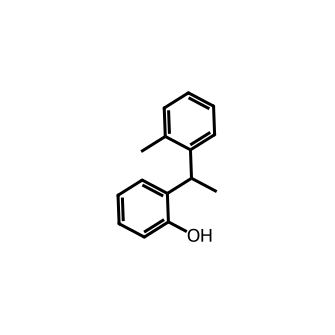 Cc1ccccc1C(C)c1ccccc1O